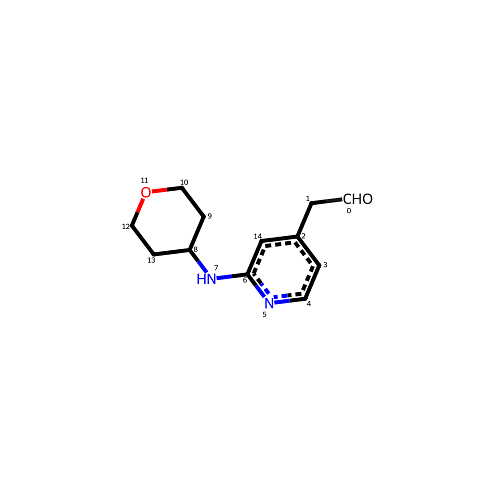 O=CCc1ccnc(NC2CCOCC2)c1